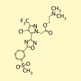 CN(C)CCOC(=O)Cn1nc(C(F)(F)F)c(Cl)c1-c1noc(-c2cccc(S(C)(=O)=O)c2)n1